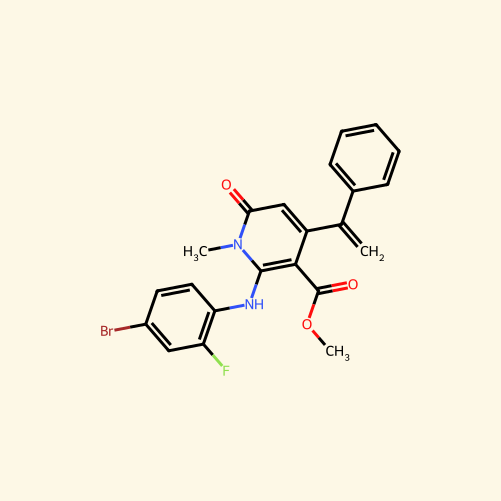 C=C(c1ccccc1)c1cc(=O)n(C)c(Nc2ccc(Br)cc2F)c1C(=O)OC